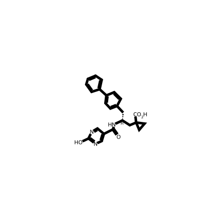 O=C(N[C@H](Cc1ccc(-c2ccccc2)cc1)CC1(C(=O)O)CC1)c1cnc(O)nc1